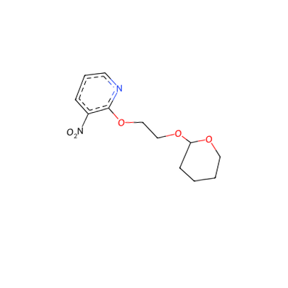 O=[N+]([O-])c1cccnc1OCCOC1CCCCO1